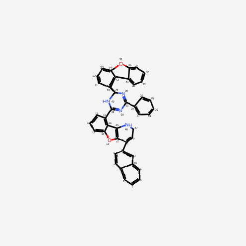 C1=C(c2ccc3ccccc3c2)c2oc3cccc(C4=NC(c5ccccc5)=NC(c5cccc6oc7ccccc7c56)N4)c3c2NC1